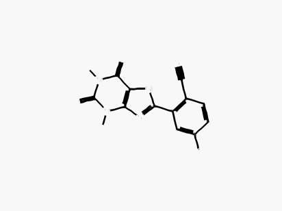 Cn1c(=O)c2[nH]c(-c3cc(F)ccc3C#N)nc2n(C)c1=O